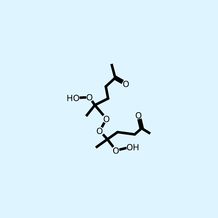 CC(=O)CCC(C)(OO)OOC(C)(CCC(C)=O)OO